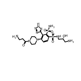 NCCC(=O)N1CCN(c2ccc(S(=O)(=O)NC[C@H](O)CN)c(S(N)(=O)=O)c2-c2nn[nH]n2)CC1